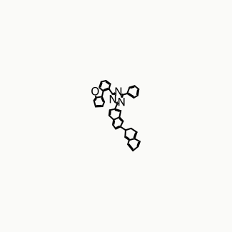 C1=c2ccccc2=CC(c2ccc3ccc(-c4nc(-c5ccccc5)nc(-c5cccc6oc7ccccc7c56)n4)cc3c2)C1